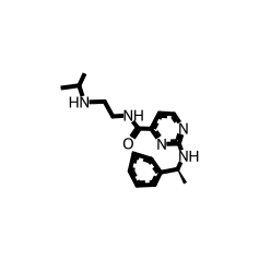 CC(C)NCCNC(=O)c1ccnc(N[C@@H](C)c2ccccc2)n1